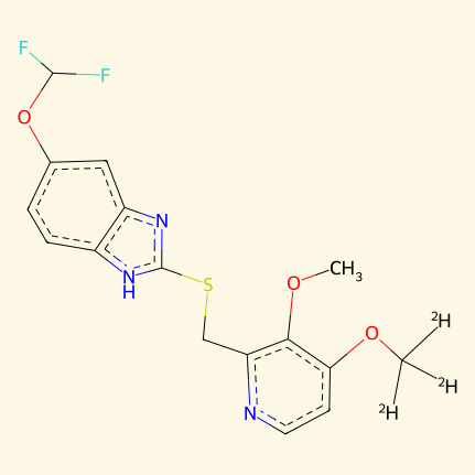 [2H]C([2H])([2H])Oc1ccnc(CSc2nc3cc(OC(F)F)ccc3[nH]2)c1OC